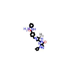 CC1CN(Cc2ccc(C(=O)Nc3ccccc3N)cc2)CC1c1nc2c(cnn2C2CCCC2)c(=O)[nH]1